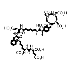 O=C(O)CC[C@H](NC(=O)N[C@@H](CCCCNC(=O)[C@H](Cc1ccccc1)NC(=O)[C@H](CCC(=O)O)NC(=O)CCCCCNC(=S)Nc1ccc(C[C@H]2CN(CC(=O)O)CCN(CC(=O)O)CCN(CC(=O)O)CCN2CC(=O)O)cc1)C(=O)O)C(=O)O